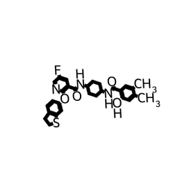 Cc1cc(O)c(C(=O)NC2CCC(NC(=O)c3cc(F)cnc3Oc3ccc4c(c3)SCC4)CC2)cc1C